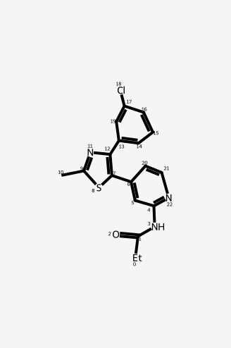 CCC(=O)Nc1cc(-c2sc(C)nc2-c2cccc(Cl)c2)ccn1